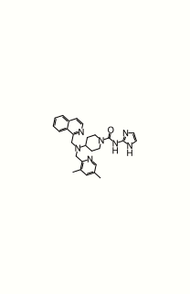 Cc1cnc(CN(Cc2nccc3ccccc23)C2CCN(C(=O)Nc3ncc[nH]3)CC2)c(C)c1